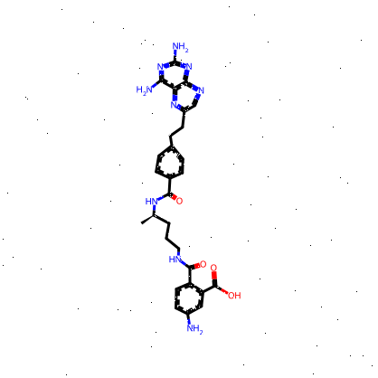 C[C@H](CCCNC(=O)c1ccc(N)cc1C(=O)O)NC(=O)c1ccc(CCc2cnc3nc(N)nc(N)c3n2)cc1